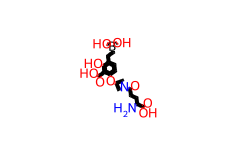 NC(CCC(=O)N1CC(Oc2ccc(CCB(O)O)c(O)c2C(=O)O)C1)C(=O)O